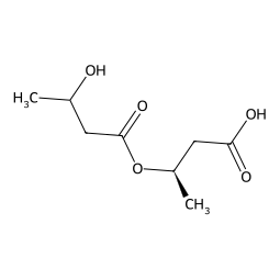 CC(O)CC(=O)O[C@H](C)CC(=O)O